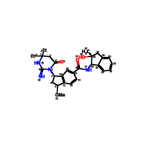 CCC1(CC)CC(=O)N([C@@H]2CC(OC)c3ccc(C(=O)N[C@@H]4c5ccccc5C[C@@]4(C)O)cc32)C(=N)N1